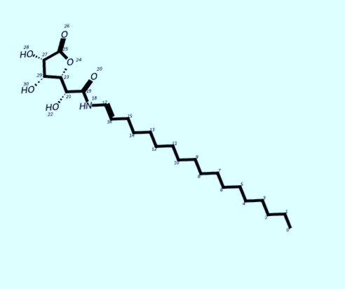 CCCCCCCCCCCCCCCC/C=C/NC(=O)[C@H](O)[C@H]1OC(=O)[C@@H](O)[C@H]1O